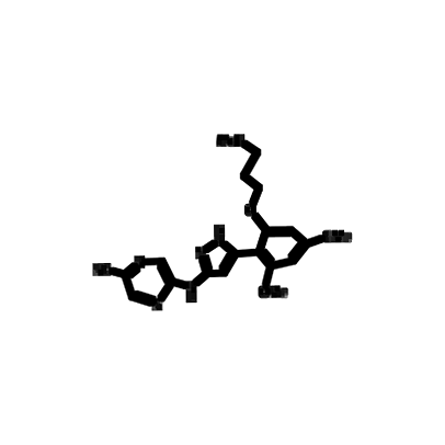 CNCCCOc1cc(OC)cc(OC)c1-c1cc(Nc2cnc(C#N)cn2)n[nH]1